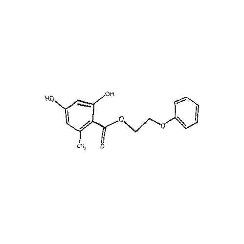 Cc1cc(O)cc(O)c1C(=O)OCCOc1ccccc1